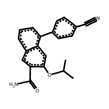 CC(C)Oc1cc2c(-c3ccc(C#N)cc3)cccc2cc1C(N)=O